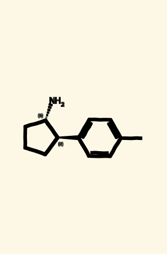 Cc1ccc([C@H]2CCC[C@@H]2N)cc1